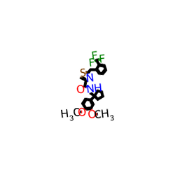 COc1ccc(C2(CNC(=O)c3csc(Cc4ccccc4C(F)(F)F)n3)CCCC2)cc1OC